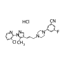 Cc1c(/C=C/CN2CCN(c3cc(F)cc(C#N)c3)CC2)cnn1-c1ncccc1Cl.Cl